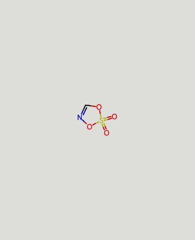 O=S1(=O)OC=NO1